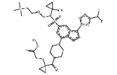 CC(C)(C)OC(=O)COC1(C(=O)N2CCN(c3cc(S(=O)(=O)N(COCC[Si](C)(C)C)C4(C#N)CC4)cn4c(-c5nnc(C(F)F)s5)ncc34)CC2)CC1